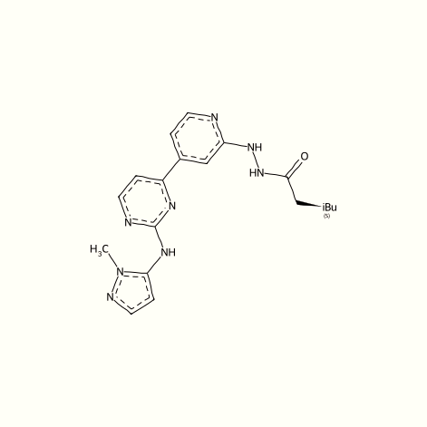 CC[C@H](C)CC(=O)NNc1cc(-c2ccnc(Nc3ccnn3C)n2)ccn1